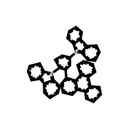 c1ccc2c(c1)c1ccccc1c1c(-c3cc(-n4c5ccccc5c5ccccc54)ccc3-n3c4ccccc4c4ccccc43)cccc21